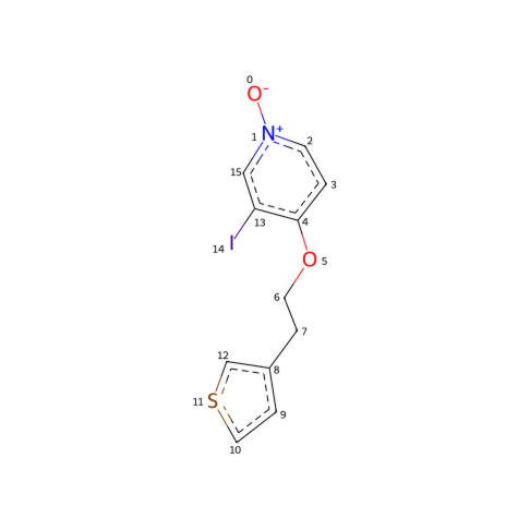 [O-][n+]1ccc(OCCc2ccsc2)c(I)c1